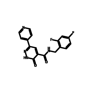 O=C(NCc1ccc(F)cc1F)c1cc(-c2ccncc2)n[nH]c1=O